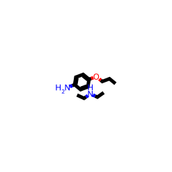 CCCOc1ccc(N)cc1.CCNCC